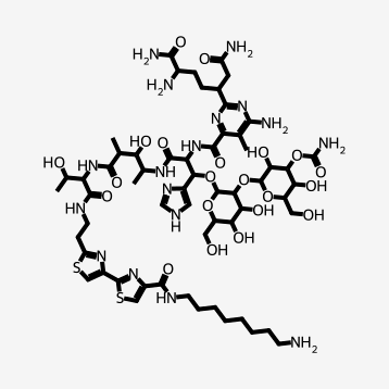 Cc1c(N)nc(C(CCC(N)C(N)=O)CC(N)=O)nc1C(=O)NC(C(=O)NC(C)C(O)C(C)C(=O)NC(C(=O)NCCc1nc(-c2nc(C(=O)NCCCCCCCCN)cs2)cs1)C(C)O)C(OC1OC(CO)C(O)C(O)C1OC1OC(CO)C(O)C(OC(N)=O)C1O)c1c[nH]cn1